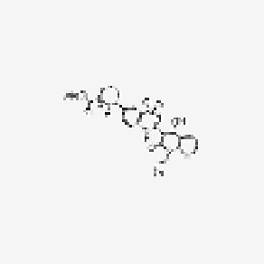 COC(=O)[SH]1CCCC(c2ccc3c(c2)S(=O)(=O)N=C(c2c(O)c4cccnc4n(CCC(C)C)c2=O)N3)N1